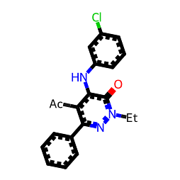 CCn1nc(-c2ccccc2)c(C(C)=O)c(Nc2cccc(Cl)c2)c1=O